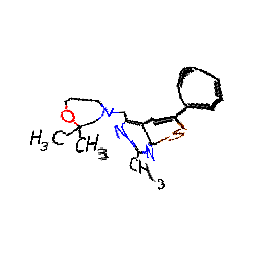 Cc1nc(CN2CCOC(C)(C)C2)c2cc(-c3ccccc3)sc2n1